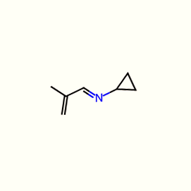 C=C(C)C=NC1CC1